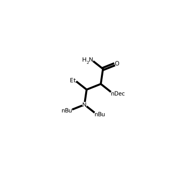 CCCCCCCCCCC(C(N)=O)C(CC)N(CCCC)CCCC